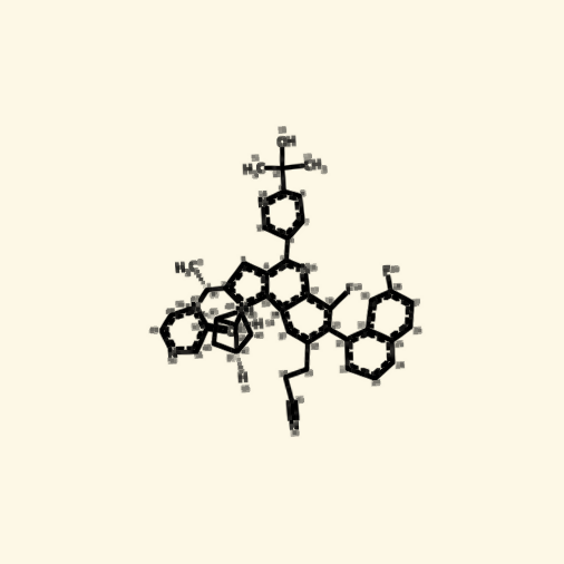 C[C@H](c1cc2c(-c3ccc(C(C)(C)O)nc3)nc3c(F)c(-c4cccc5ccc(F)cc45)c(CCC#N)cc3c2n1[C@H]1[C@H]2CN[C@@H]1C2)n1ccncc1=O